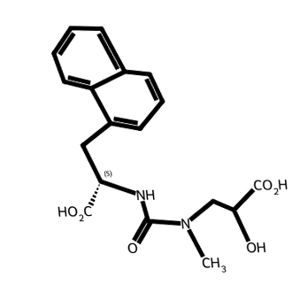 CN(CC(O)C(=O)O)C(=O)N[C@@H](Cc1cccc2ccccc12)C(=O)O